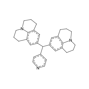 c1cc(C(c2cc3c4c(c2)CCCN4CCC3)c2cc3c4c(c2)CCCN4CCC3)ccn1